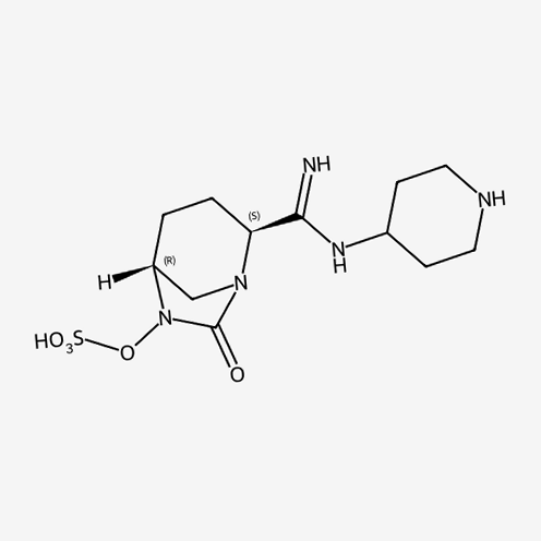 N=C(NC1CCNCC1)[C@@H]1CC[C@@H]2CN1C(=O)N2OS(=O)(=O)O